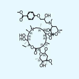 CC[C@H]1OC(=O)[C@H](C)[C@@H](O[C@H]2C[C@@](C)(OC)[C@@H](O)[C@H](C)O2)[C@H](C)[C@@H](O[C@@H]2O[C@H](C)CC(N(C)CC(O)COc3ccc(C(=O)OC)cc3)[C@H]2O)[C@](C)(O)C[C@@H](C)CN(C)[C@H](C)[C@@H](O)[C@]1(C)O